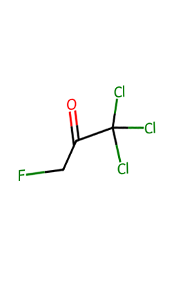 O=C(CF)C(Cl)(Cl)Cl